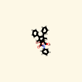 CC12C(=O)C(C)(C(c3ccccc3)=C1c1ccccc1)C1(Br)C(=O)N(c3ccccc3)C(=O)C21